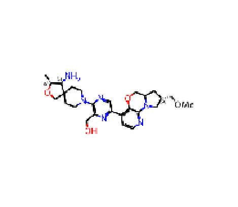 COC[C@H]1CC2COc3c(-c4cnc(N5CCC6(CC5)CO[C@@H](C)[C@H]6N)c(CO)n4)ccnc3N2C1